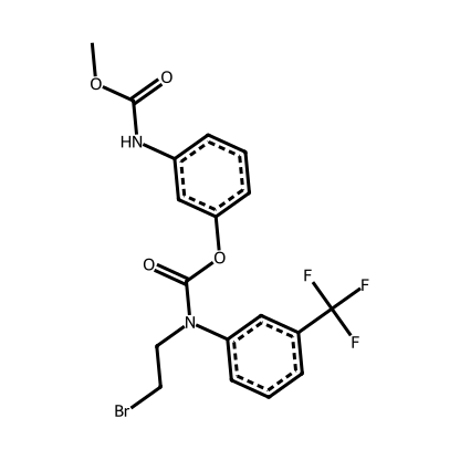 COC(=O)Nc1cccc(OC(=O)N(CCBr)c2cccc(C(F)(F)F)c2)c1